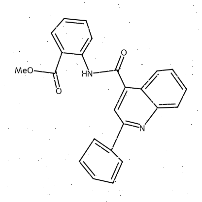 COC(=O)c1ccccc1NC(=O)c1cc(-c2ccccc2)nc2ccccc12